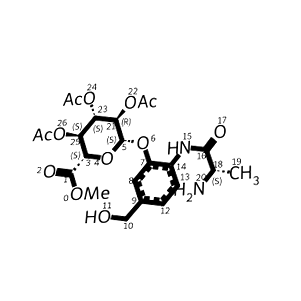 COC(=O)[C@H]1O[C@@H](Oc2cc(CO)ccc2NC(=O)[C@H](C)N)[C@H](OC(C)=O)[C@@H](OC(C)=O)[C@@H]1OC(C)=O